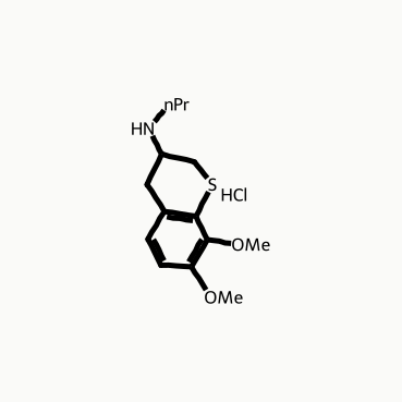 CCCNC1CSc2c(ccc(OC)c2OC)C1.Cl